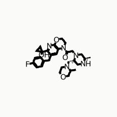 CC1COCCN1C[C@H]1CN[C@H](C)CN1CC(=O)N1CCOc2nc(C3(O)CC3)c(Cc3ccc(F)cc3)cc21